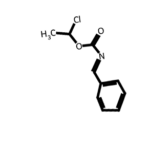 CC(Cl)OC(=O)N=Cc1ccccc1